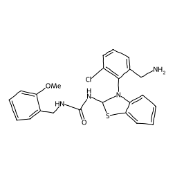 COc1ccccc1CNC(=O)NC1Sc2ccccc2N1c1c(Cl)cccc1CN